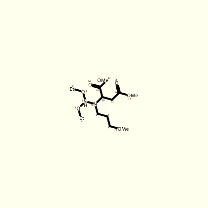 CCO[SiH](OCC)N(CCCOC)C(CC(=O)OC)C(=O)OC